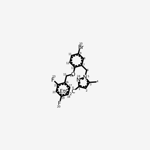 CCOC(=O)c1cc(C)n(Cc2cc(Br)ccc2OCc2ccc(F)cc2F)n1